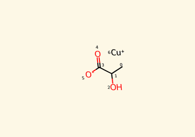 CC(O)C(=O)[O-].[Cu+]